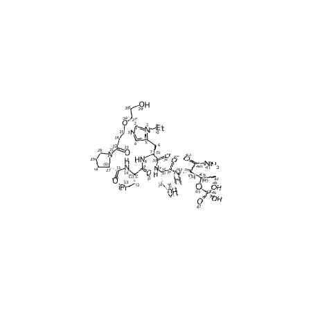 CCn1cncc1C[C@H](NC(=O)[C@H](CC(C)C)NC(=O)[C@@H]1CCCN1C(=O)CCOCCO)C(=O)N[C@@H](CO)C(=O)N[C@H](C(N)=O)[C@@H](C)OP(=O)(O)O